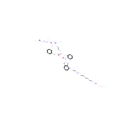 CCC(=O)NCCNC(=O)/N=C(/N)NCCC[C@@H](NC(=O)[C@H](c1ccccc1)N1Cc2cccc(NCCCNC(=O)CCCCCNC(=O)OC(C)(C)C)c2C1)C(=O)NCc1c(F)cc(O)cc1F